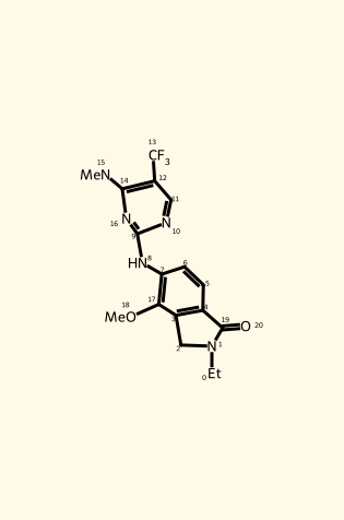 CCN1Cc2c(ccc(Nc3ncc(C(F)(F)F)c(NC)n3)c2OC)C1=O